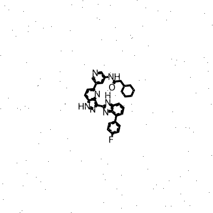 O=C(CC1CCCCC1)Nc1cncc(-c2ccc3[nH]nc(-c4nc5c(-c6ccc(F)cc6)cccc5[nH]4)c3n2)c1